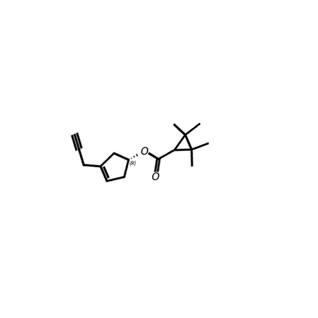 C#CCC1=CC[C@@H](OC(=O)C2C(C)(C)C2(C)C)C1